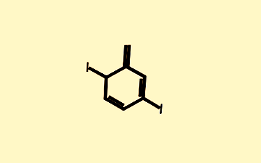 C=C1C=C(I)C=CC1I